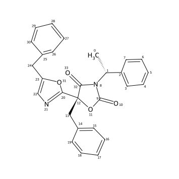 C[C@H](c1ccccc1)N1C(=O)O[C@](Cc2ccccc2)(c2ncc(Cc3ccccc3)o2)C1=O